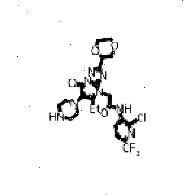 CCc1c(N2CCNCC2)c(=O)n2nc(C3=COCCO3)nc2n1CC(=O)Nc1ccc(C(F)(F)F)nc1Cl